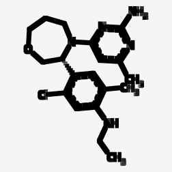 CCNc1cc(Cl)c([C@@H]2COCCCN2c2cc(C)nc(N)n2)cc1C